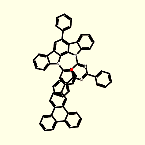 c1ccc(-c2nc(-c3ccccc3)nc(-n3c4ccccc4c4c(-c5ccccc5)cc5c6ccccc6n(-c6cccc(-c7ccc8c9ccccc9c9ccccc9c8c7)c6)c5c43)n2)cc1